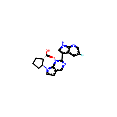 O=C(O)[C@H]1CCC[C@@H]1n1ccc2cnc(-c3c[nH]c4ncc(F)cc34)nc21